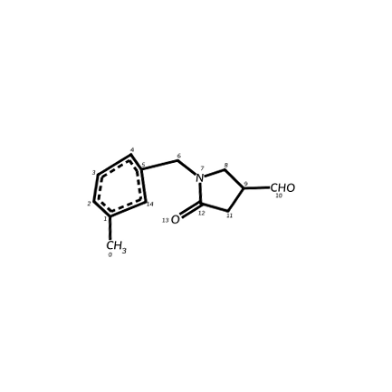 Cc1cccc(CN2CC(C=O)CC2=O)c1